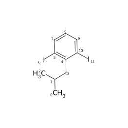 CC(C)[CH]c1c(I)cccc1I